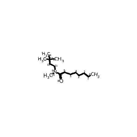 CCCCCCCC(=O)N(C)CCC(C)(C)C